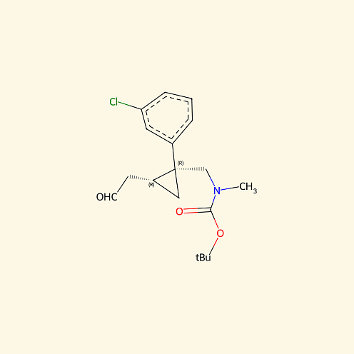 CN(C[C@]1(c2cccc(Cl)c2)C[C@@H]1CC=O)C(=O)OC(C)(C)C